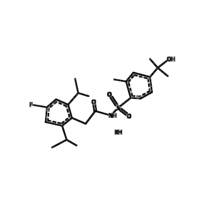 Cc1cc(C(C)(C)O)ccc1S(=O)(=O)NC(=O)Cc1c(C(C)C)cc(F)cc1C(C)C.[KH]